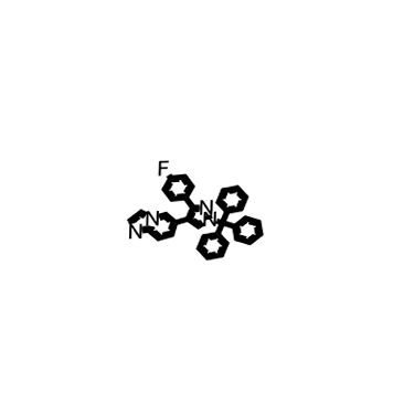 Fc1ccc(-c2nn(C(c3ccccc3)(c3ccccc3)c3ccccc3)cc2-c2ccc3nccn3c2)cc1